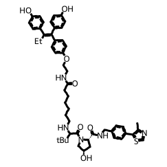 CCC(=C(c1ccc(O)cc1)c1ccc(OCCNC(=O)CCCCCCNC(C(=O)N2C[C@H](O)C[C@H]2C(=O)NCc2ccc(-c3scnc3C)cc2)C(C)(C)C)cc1)c1ccc(O)cc1